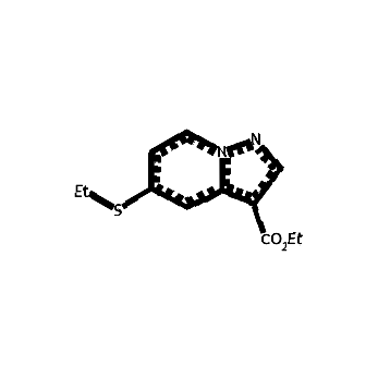 CCOC(=O)c1cnn2ccc(SCC)cc12